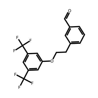 O=Cc1cccc(CCOc2cc(C(F)(F)F)cc(C(F)(F)F)c2)c1